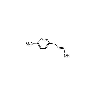 O=[N+]([O-])c1ccc(CC=CO)cc1